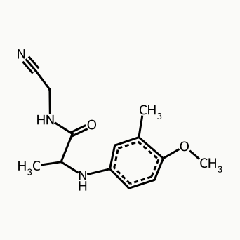 COc1ccc(NC(C)C(=O)NCC#N)cc1C